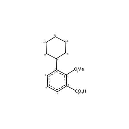 COc1c(C(=O)O)cccc1C1CCCCC1